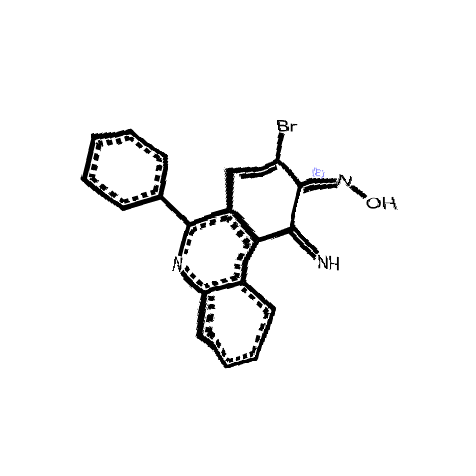 N=C1/C(=N\O)C(Br)=Cc2c(-c3ccccc3)nc3ccccc3c21